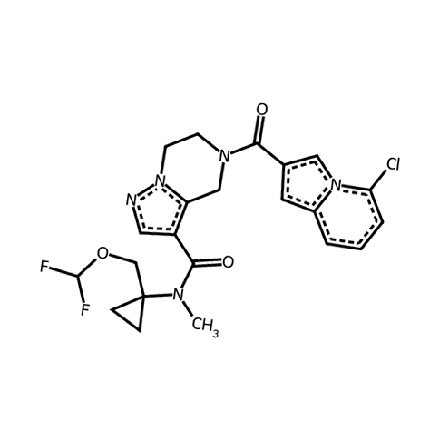 CN(C(=O)c1cnn2c1CN(C(=O)c1cc3cccc(Cl)n3c1)CC2)C1(COC(F)F)CC1